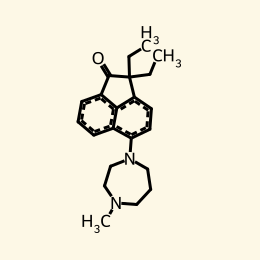 CCC1(CC)C(=O)c2cccc3c(N4CCCN(C)CC4)ccc1c23